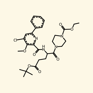 CCOC(=O)N1CCN(C(=O)C(CCC(=O)OC(C)(C)C)NC(=O)c2nc(-c3ccccc3)cc(Cl)c2OC)CC1